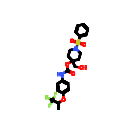 CC(Oc1ccc(NC(=O)OC2(CO)CCN(S(=O)(=O)c3ccccc3)CC2)cc1)C(F)(F)F